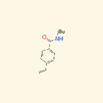 C=Cc1ccc(C(=O)NC(C)CC)cc1